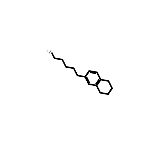 FC(F)(F)CCCCCc1ccc2c(c1)CCCC2